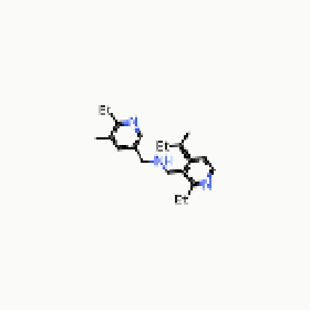 CC/C(C)=c1/ccnc(CC)/c1=C/NCc1cnc(CC)c(C)c1